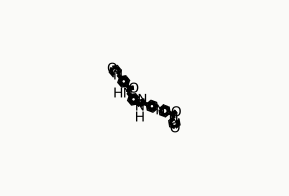 O=C(Nc1ccc2[nH]c(-c3ccc(N4CCC(C(=O)N5CCOCC5)CC4)cc3)nc2c1)c1ccc(N2CCOCC2)cc1